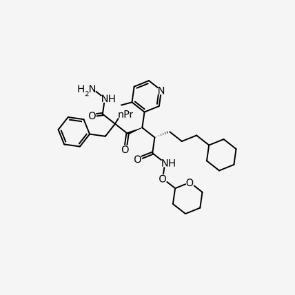 CCCC(Cc1ccccc1)(C(=O)NN)C(=O)[C@@H](c1cnccc1C)[C@H](CCCC1CCCCC1)C(=O)NOC1CCCCO1